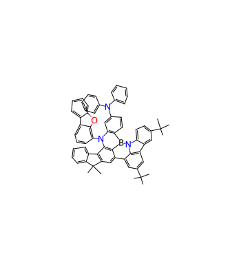 CC(C)(C)c1ccc2c(c1)c1cc(C(C)(C)C)cc3c1n2B1c2ccc(N(c4ccccc4)c4ccccc4)cc2N(c2cccc4c2oc2ccccc24)c2c1c-3cc1c2-c2ccccc2C1(C)C